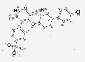 CS(=O)(=O)c1ccc(-c2c(OC3CCN(c4ncc(Cl)cn4)CC3)c(C#N)n[nH]c2=O)cc1